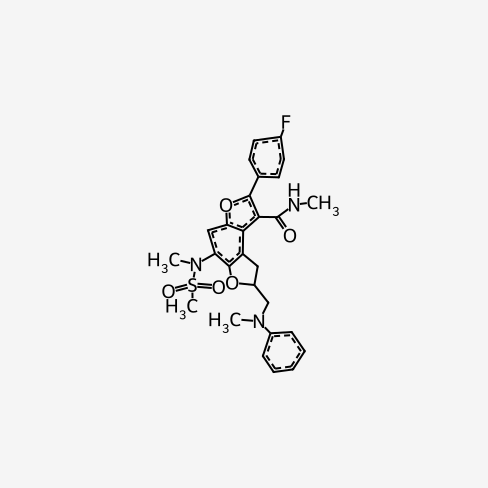 CNC(=O)c1c(-c2ccc(F)cc2)oc2cc(N(C)S(C)(=O)=O)c3c(c12)CC(CN(C)c1ccccc1)O3